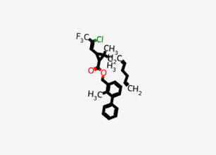 C=CCCC=C.Cc1c(COC(=O)C2C(/C=C(\Cl)C(F)(F)F)C2(C)C)cccc1-c1ccccc1